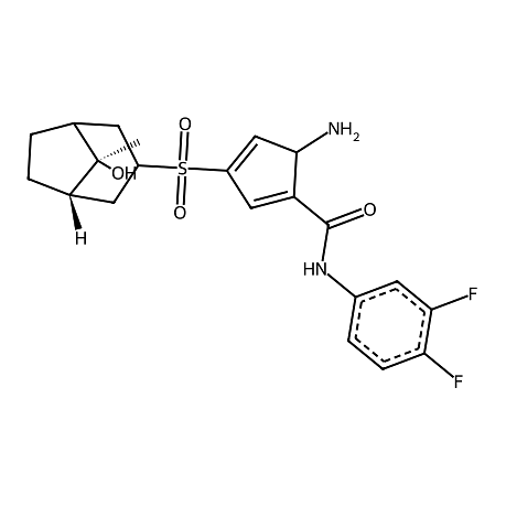 C[C@@]1(O)C2CC[C@H]1CC(S(=O)(=O)C1=CC(N)C(C(=O)Nc3ccc(F)c(F)c3)=C1)C2